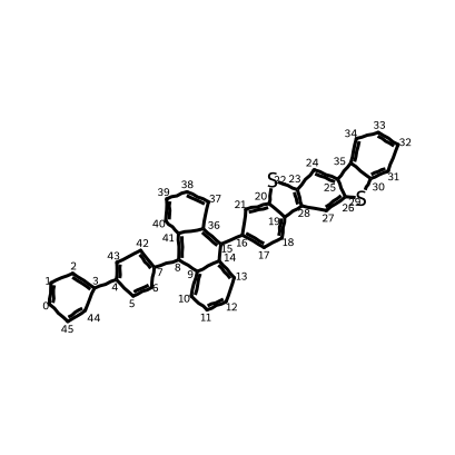 c1ccc(-c2ccc(-c3c4ccccc4c(-c4ccc5c(c4)sc4cc6c(cc45)sc4ccccc46)c4ccccc34)cc2)cc1